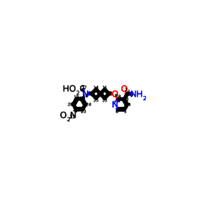 NC(=O)c1cccnc1OC1CC2(C1)CC(N(C(=O)O)c1ccc([N+](=O)[O-])cc1)C2